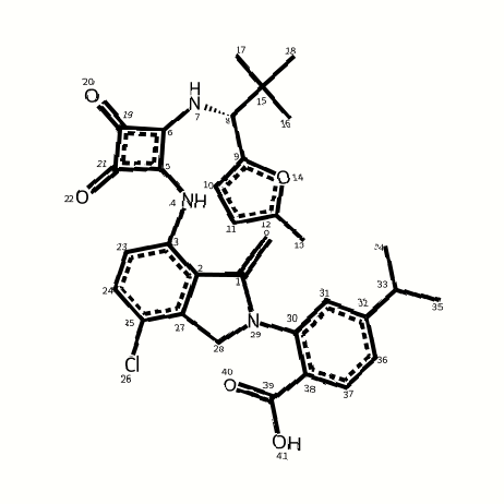 C=C1c2c(Nc3c(N[C@@H](c4ccc(C)o4)C(C)(C)C)c(=O)c3=O)ccc(Cl)c2CN1c1cc(C(C)C)ccc1C(=O)O